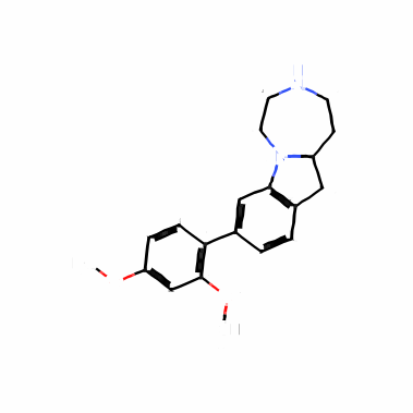 COc1ccc(-c2ccc3c(c2)N2CCNCCC2C3)c(OC)c1